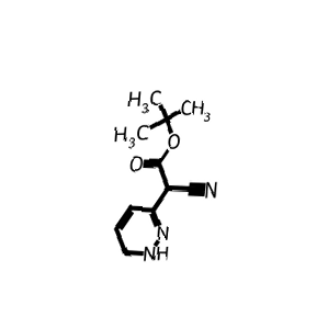 CC(C)(C)OC(=O)C(C#N)C1=NNCC=C1